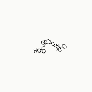 Cc1oc(-c2ccccc2)nc1COc1ccc2coc(C=CC(=O)O)c2c1